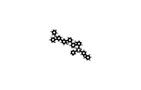 c1ccc(-c2nc(-c3ccc4c(c3)sc3ccccc34)nc(-c3cccc4sc5c(-c6cccc7c6oc6ccc(-c8ccc9c(c8)c8ccccc8n9-c8ccccc8)cc67)cccc5c34)n2)cc1